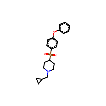 O=S(=O)([C]1CCN(CC2CC2)CC1)c1ccc(Oc2ccccc2)cc1